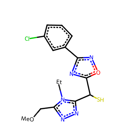 CCn1c(COC)nnc1C(S)c1nc(-c2cccc(Cl)c2)no1